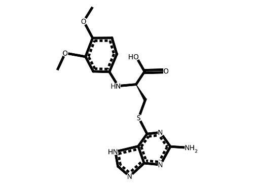 COc1ccc(N[C@H](CSc2nc(N)nc3nc[nH]c23)C(=O)O)cc1OC